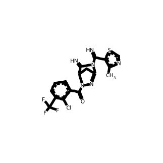 Cc1ncsc1C(=N)N1C(=N)C2CC1=NN2C(=O)c1cccc(C(F)(F)F)c1Cl